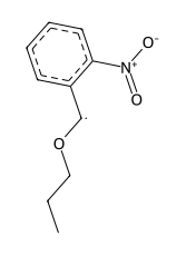 CCCO[CH]c1ccccc1[N+](=O)[O-]